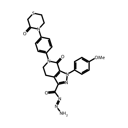 COc1ccc(-n2nc(C(=O)N=NN)c3c2C(=O)N(c2ccc(N4CCSCC4=O)cc2)CC3)cc1